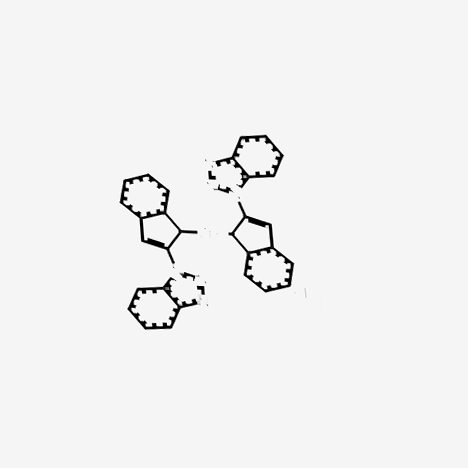 C1=C(n2nnc3ccccc32)[CH]([Zr+2][CH]2C(n3nnc4ccccc43)=Cc3ccccc32)c2ccccc21.[Cl-].[Cl-]